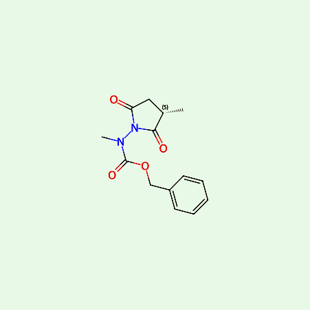 C[C@H]1CC(=O)N(N(C)C(=O)OCc2ccccc2)C1=O